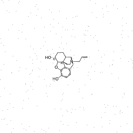 C=CCN1CC[C@@]23c4c5ccc(O)c4OC2[C@H](O)CCC3C1C5